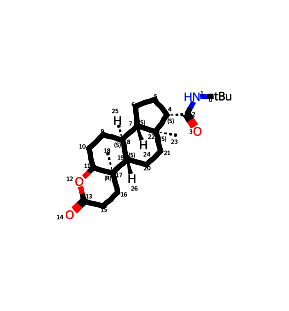 CC(C)(C)NC(=O)[C@H]1CC[C@H]2[C@@H]3CCC4OC(=O)CC[C@]4(C)[C@H]3CC[C@]12C